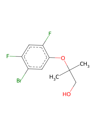 CC(C)(CO)Oc1cc(Br)c(F)cc1F